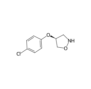 Clc1ccc(O[C@H]2CNOC2)cc1